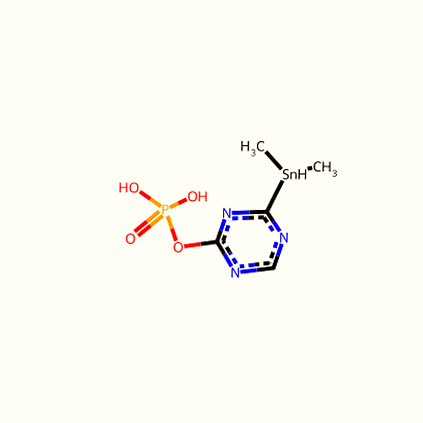 [CH3][SnH]([CH3])[c]1ncnc(OP(=O)(O)O)n1